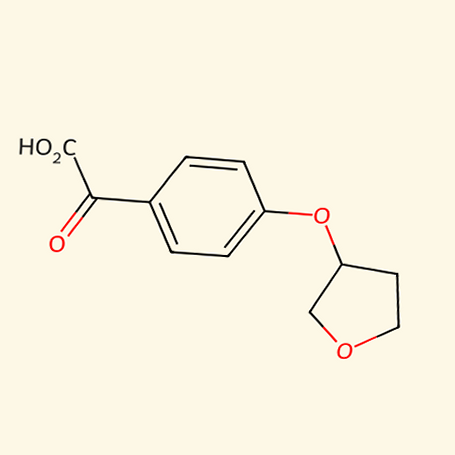 O=C(O)C(=O)c1ccc(OC2CCOC2)cc1